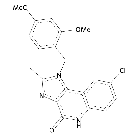 COc1ccc(Cn2c(C)nc3c(=O)[nH]c4ccc(Cl)cc4c32)c(OC)c1